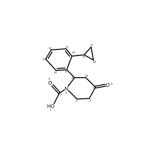 O=C1CCN(C(=O)O)C(c2ccccc2C2CC2)C1